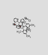 Cc1cc(C)c(C2CNC(=C3CC=CC=C3C(c3ncccc3Br)c3ncccc3Br)N2c2c(C)cc(C)cc2C)c(C)c1.[Cl][Ru][Cl]